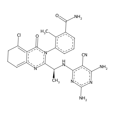 Cc1c(C(N)=O)cccc1-n1c([C@H](C)Nc2nc(N)nc(N)c2C#N)nc2c(c1=O)=C(Cl)CCC=2